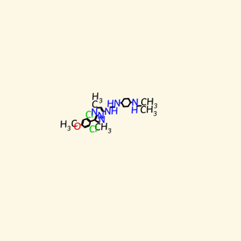 COc1cc(Cl)c(-c2c(C)nn3c(NCCNC4CCC(NCC(C)C)CC4)cc(C)nc23)c(Cl)c1